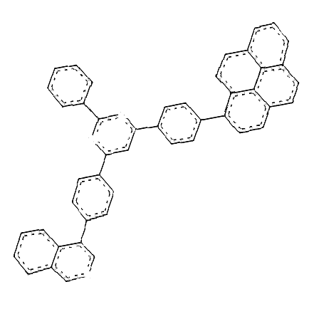 c1ccc(-c2nc(-c3ccc(-c4cncc5ccccc45)cc3)cc(-c3ccc(-c4ccc5ccc6cccc7ccc4c5c67)cc3)n2)cc1